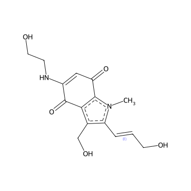 Cn1c(/C=C/CO)c(CO)c2c1C(=O)C=C(NCCO)C2=O